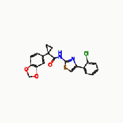 O=C(Nc1nc(-c2ccccc2Cl)cs1)C1(c2ccc3c(c2)OCO3)CC1